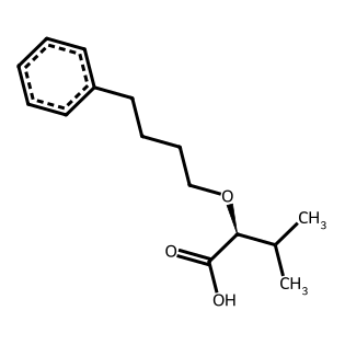 CC(C)[C@H](OCCCCc1ccccc1)C(=O)O